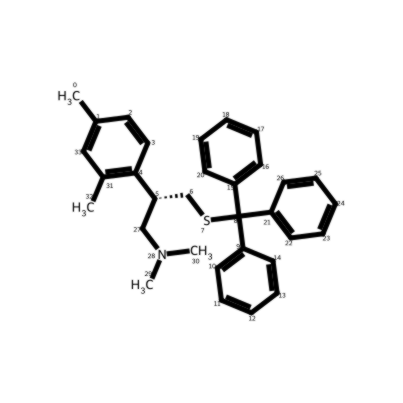 Cc1c[c]c([C@H](CSC(c2ccccc2)(c2ccccc2)c2ccccc2)CN(C)C)c(C)c1